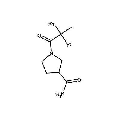 CCCC(C)(CC)C(=O)N1CCC(C(N)=O)C1